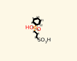 O=P(O)(CCCS(=O)(=O)O)c1ccccc1